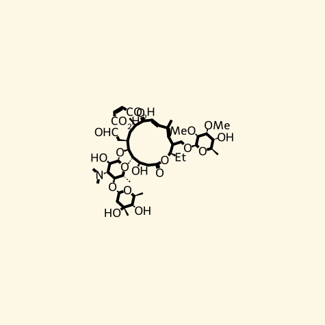 CC[C@H]1OC(=O)C[C@@H](O)[C@H](C)[C@@H](O[C@@H]2O[C@H](C)[C@@H](O[C@H]3C[C@@](C)(O)[C@@H](O)[C@H](C)O3)[C@H](N(C)C)[C@H]2O)[C@@H](CC=O)C[C@@H](C)C(=O)/C=C/C(C)=C/C1CO[C@@H]1O[C@H](C)[C@@H](O)[C@@H](OC)[C@H]1OC.O=C(O)/C=C\C(=O)O